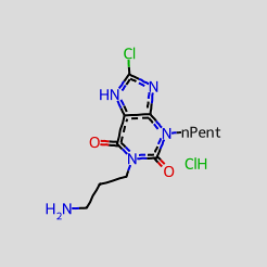 CCCCCn1c(=O)n(CCCN)c(=O)c2[nH]c(Cl)nc21.Cl